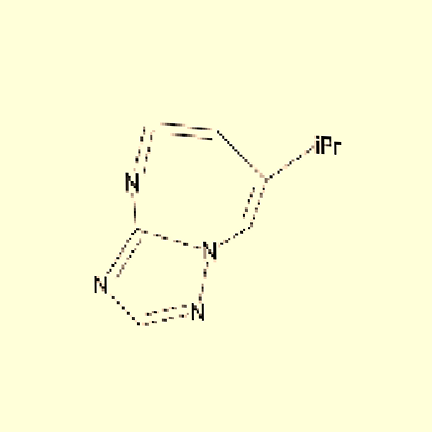 CC(C)C1=Cn2ncnc2N=C=C1